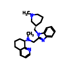 CN1CCC[C@H](Cn2c(CN(C)[C@H]3CCCc4cccnc43)nc3ccccc32)C1